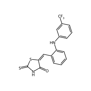 O=C1NC(=S)SC1=Cc1ccccc1Nc1cccc(C(F)(F)F)c1